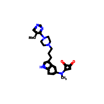 COc1cncnc1N1CCN(CCCc2c[nH]c3ccc(N(C)c4cc(=O)c4=O)cc23)CC1